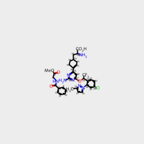 COC(=O)CNC(=O)c1ccccc1.Cc1ccn(-c2cc(Cl)ccc2C(Oc2cc(C3=CCC(CC(N)C(=O)O)CC3)nc(N)n2)C(F)(F)F)n1